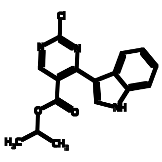 CC(C)OC(=O)c1cnc(Cl)nc1-c1c[nH]c2ccccc12